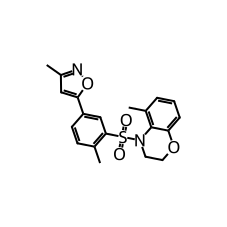 Cc1cc(-c2ccc(C)c(S(=O)(=O)N3CCOc4cccc(C)c43)c2)on1